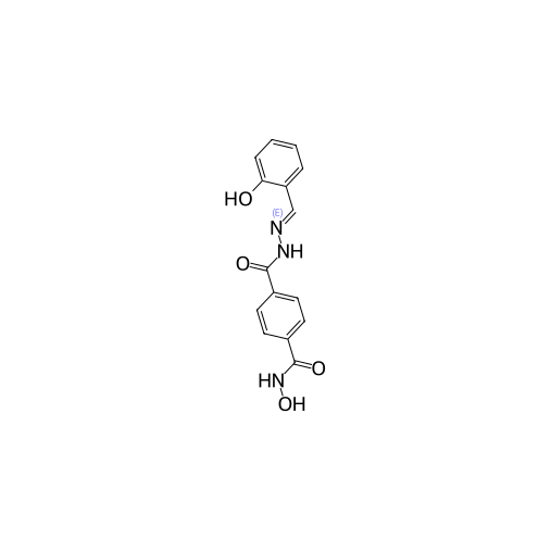 O=C(NO)c1ccc(C(=O)N/N=C/c2ccccc2O)cc1